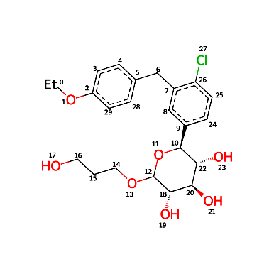 CCOc1ccc(Cc2cc([C@@H]3OC(OCCCO)[C@@H](O)[C@H](O)[C@H]3O)ccc2Cl)cc1